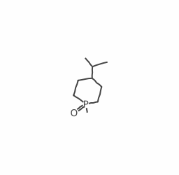 CC(C)C1CCP(C)(=O)CC1